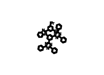 CC(C)c1cc(-c2nc3ccccc3n2-c2cc(-c3nc(-c4ccccc4)nc(-c4ccccc4)n3)cc(-c3nc(-c4ccccc4)nc(-c4ccccc4)n3)c2)cc(C(C)C)c1